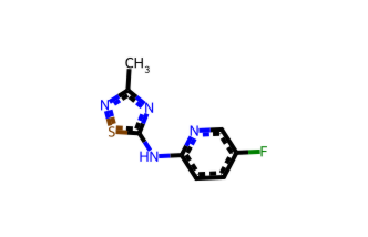 Cc1nsc(Nc2ccc(F)cn2)n1